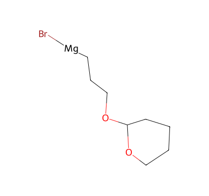 [Br][Mg][CH2]CCOC1CCCCO1